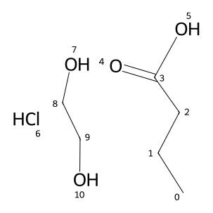 CCCC(=O)O.Cl.OCCO